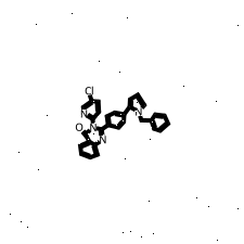 O=c1c2ccccc2nc(-c2ccc(-c3cccn3Cc3ccccc3)cc2)n1-c1ccc(Cl)cn1